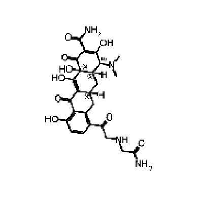 CN(C)[C@@H]1C(O)=C(C(N)=O)C(=O)[C@@]2(O)C(O)=C3C(=O)c4c(O)ccc(C(=O)CNCC(N)=O)c4C[C@H]3C[C@@H]12